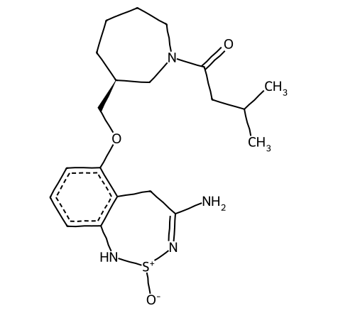 CC(C)CC(=O)N1CCCC[C@H](COc2cccc3c2CC(N)=N[S+]([O-])N3)C1